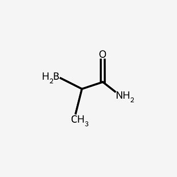 BC(C)C(N)=O